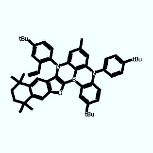 C=Cc1cc(C(C)(C)C)ccc1N1c2cc(C)cc3c2B(c2cc(C(C)(C)C)ccc2N3c2ccc(C(C)(C)C)cc2)c2oc3cc4c(cc3c21)C(C)(C)CCC4(C)C